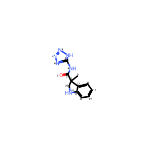 CC1(C(=O)Nc2nnn[nH]2)CNc2ccccc21